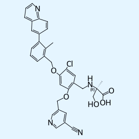 Cc1c(COc2cc(OCc3cncc(C#N)c3)c(CN[C@](C)(CO)C(=O)O)cc2Cl)cccc1-c1ccc2ncccc2c1